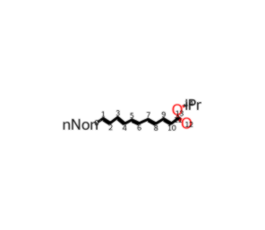 CCCCCCCCCC=CC=CC=CC=CC=CC(=O)OC(C)C